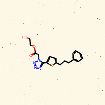 O=C(Cn1nnnc1-c1ccc(CCCc2ccccc2)s1)OCCO